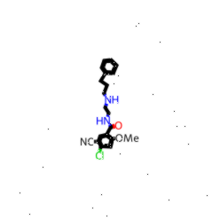 COc1cc(Cl)c(C#N)cc1C(=O)NCCNCCCc1ccccc1